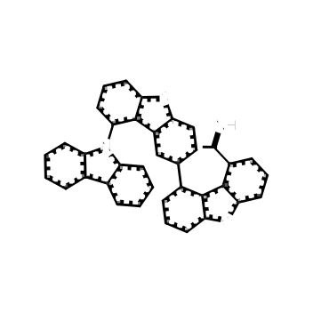 CC(=N)c1cccc2oc3cccc(-c4ccc5sc6cccc(-n7c8ccccc8c8ccccc87)c6c5c4)c3c12